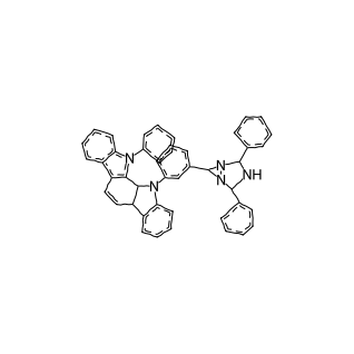 C1=CC2c3ccccc3N(c3cccc(C4N5C(c6ccccc6)NC(c6ccccc6)N45)c3)C2c2c1c1ccccc1n2-c1ccccc1